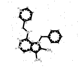 Cc1c(C)n(Cc2ccccc2)c2c(OCc3cccnc3)nncc12